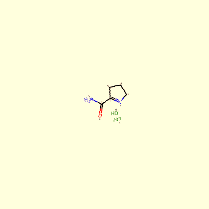 Cl.Cl.NC(=O)C1=NCCC1